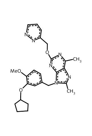 COc1ccc(Cn2c(C)nc3c(C)nc(OCc4cccnn4)nc32)cc1OC1CCCC1